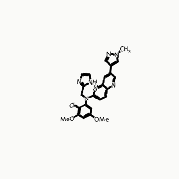 COc1cc(OC)c(Cl)c(N(Cc2ncc[nH]2)c2ccc3ncc(-c4cnn(C)c4)cc3n2)c1